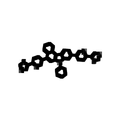 c1ccc(-n2c3cc(-c4ccc(-c5cncs5)nc4)ccc3c3c4ccccc4c(-c4ccc(-c5cncs5)nc4)cc32)cc1